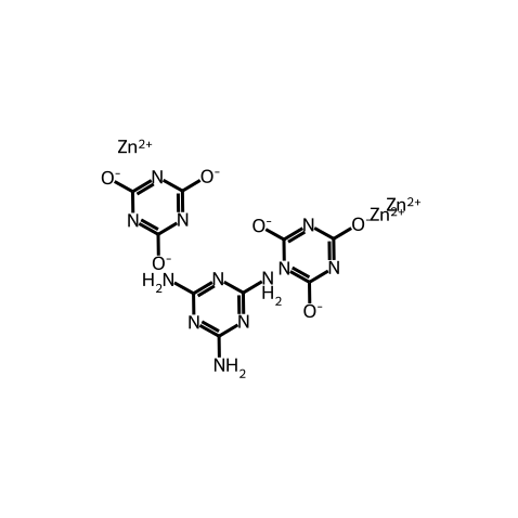 Nc1nc(N)nc(N)n1.[O-]c1nc([O-])nc([O-])n1.[O-]c1nc([O-])nc([O-])n1.[Zn+2].[Zn+2].[Zn+2]